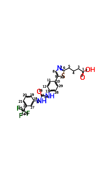 O=C(O)CCCc1ncc(-c2ccc(NC(=O)Nc3cccc(C(F)(F)F)c3)cc2)s1